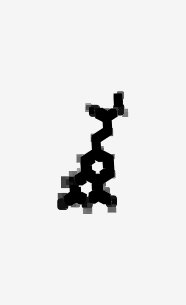 COC(=O)CCc1ccc2c(=O)oc(=O)[nH]c2c1